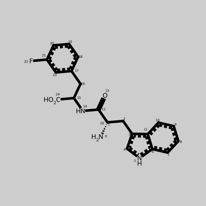 N[C@@H](Cc1c[nH]c2ccccc12)C(=O)NC(Cc1cccc(F)c1)C(=O)O